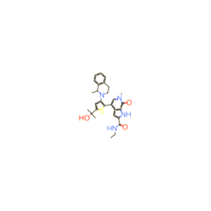 CCNC(=O)c1cc2c(-c3sc(C(C)(C)O)cc3N3CCc4ccccc4C3C)cn(C)c(=O)c2[nH]1